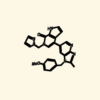 COc1ccc(Cn2c(C)nc3ncc(-c4cn(Cn5cccn5)c(=O)c5[nH]ccc45)cc32)cc1